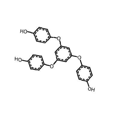 Oc1ccc(Oc2cc(Oc3ccc(O)cc3)cc(Oc3ccc(O)cc3)c2)cc1